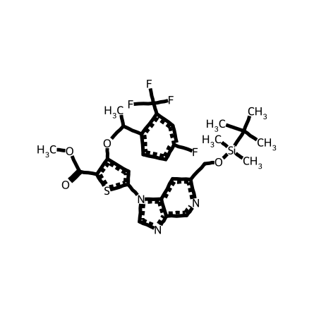 COC(=O)c1sc(-n2cnc3cnc(CO[Si](C)(C)C(C)(C)C)cc32)cc1OC(C)c1ccc(F)cc1C(F)(F)F